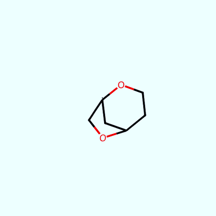 C1CC2C[C](CO2)O1